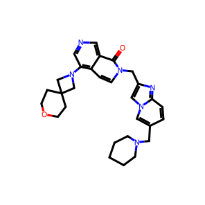 O=c1c2cncc(N3CC4(CCOCC4)C3)c2ccn1Cc1cn2cc(CN3CCCCC3)ccc2n1